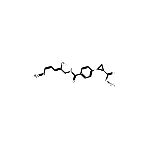 C=N/C=C\C=C(/C)CNC(=O)c1ccc([C@@H]2C[C@H]2C(=O)OC)cc1